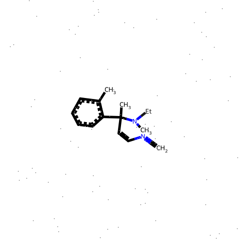 C=N/C=C\C(C)(c1ccccc1C)N(C)CC